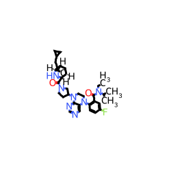 CCN(C(=O)c1cc(F)ccc1N1CCN(C2CCN(C(=O)[C@H]3N[C@H]4CC[C@@H]3C[C@H]4CC3CC3)C2)c2ncncc21)C(C)C